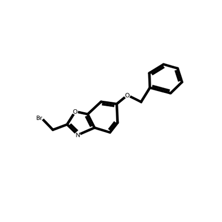 BrCc1nc2ccc(OCc3ccccc3)cc2o1